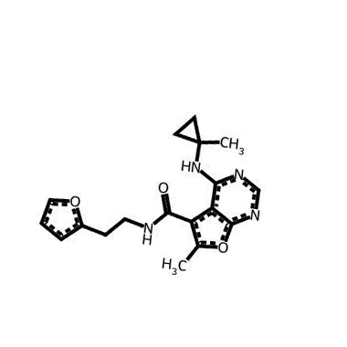 Cc1oc2ncnc(NC3(C)CC3)c2c1C(=O)NCCc1ccco1